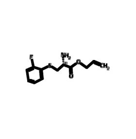 C=CCOC(=O)[C@@H](N)CSc1ccccc1F